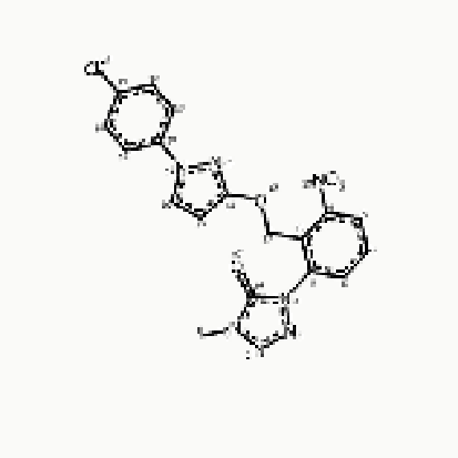 Cn1nnn(-c2cccc([N+](=O)[O-])c2COc2ccn(-c3ccc(Cl)cc3)n2)c1=O